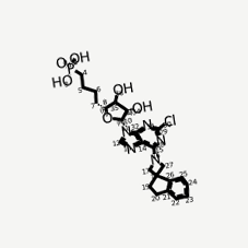 O=P(O)(O)CCCC[C@H]1O[C@@H](n2cnc3c(N4CC5(CCc6ccccc65)C4)nc(Cl)nc32)[C@@H](O)C1O